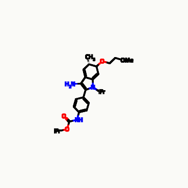 COCCOC1C=c2c(c(N)c(-c3ccc(NC(=O)OC(C)C)cc3)n2C(C)C)=C[C@@H]1C